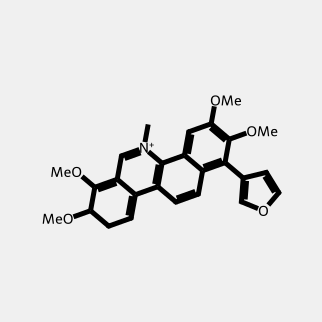 COC1=c2c[n+](C)c3c(ccc4c(-c5ccoc5)c(OC)c(OC)cc43)c2=CCC1OC